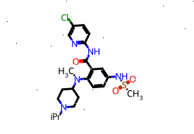 CC(C)N1CCC(N(C)c2ccc(NS(C)(=O)=O)cc2C(=O)Nc2ccc(Cl)cn2)CC1